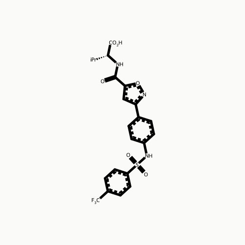 CC(C)[C@@H](NC(=O)c1cc(-c2ccc(NS(=O)(=O)c3ccc(C(F)(F)F)cc3)cc2)no1)C(=O)O